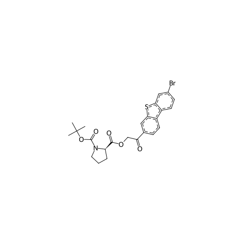 CC(C)(C)OC(=O)N1CCC[C@@H]1C(=O)OCC(=O)c1ccc2c(c1)sc1cc(Br)ccc12